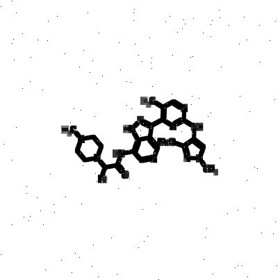 CCC(C(=O)Nc1cncc2c(-c3nc(Nc4cn(C)nc4OC)ncc3C)n[nH]c12)N1CCN(C)CC1